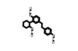 O=C=Nc1ccc(CCc2ccc(N=C=O)c(C3CCCCC3N=C=O)c2)cc1